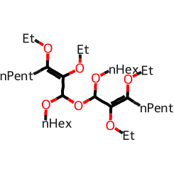 CCCCCCOC(OC(OCCCCCC)C(OCC)=C(CCCCC)OCC)C(OCC)=C(CCCCC)OCC